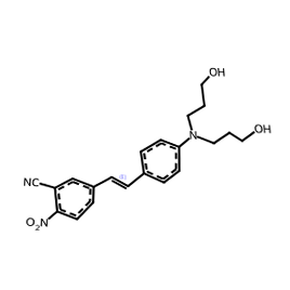 N#Cc1cc(/C=C/c2ccc(N(CCCO)CCCO)cc2)ccc1[N+](=O)[O-]